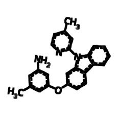 Cc1cc(N)cc(Oc2ccc3c4ccccc4n(-c4cc(C)ccn4)c3c2)c1